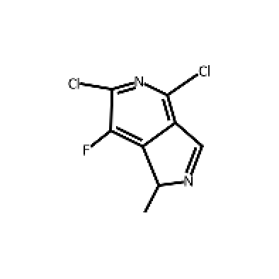 CC1N=Cc2c(Cl)nc(Cl)c(F)c21